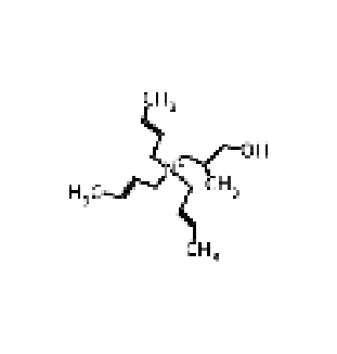 CC=CC[N+](CC=CC)(CC=CC)CC(C)CO